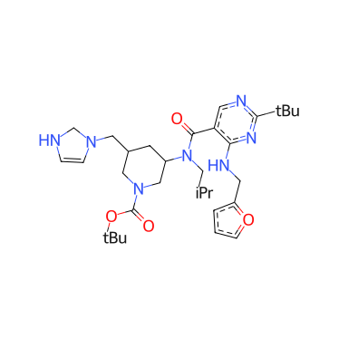 CC(C)CN(C(=O)c1cnc(C(C)(C)C)nc1NCc1ccco1)C1CC(CN2C=CNC2)CN(C(=O)OC(C)(C)C)C1